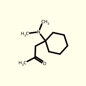 CC(=O)CC1(N(C)C)CCCCC1